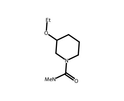 CCOC1CCCN(C(=O)NC)C1